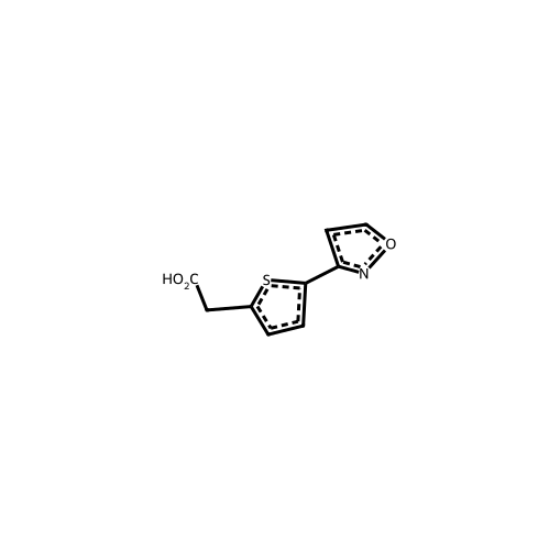 O=C(O)Cc1ccc(-c2ccon2)s1